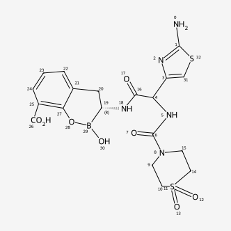 Nc1nc(C(NC(=O)N2CCS(=O)(=O)CC2)C(=O)N[C@H]2Cc3cccc(C(=O)O)c3OB2O)cs1